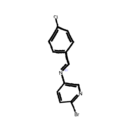 Clc1ccc(/C=N/c2ccc(Br)nc2)cc1